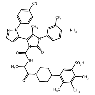 Cc1c(C2CCN(C(=O)C(C)NC(=O)n3c(-c4ccnn4-c4ccc(C#N)cc4)c(C)n(-c4cccc(C(F)(F)F)c4)c3=O)CC2)cc(S(=O)(=O)O)c(C)c1C.N